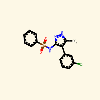 O=S(=O)(Nc1n[nH]c(C(F)(F)F)c1-c1cccc(Cl)c1)c1ccccc1